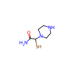 NC(=O)C(S)N1CCNCC1